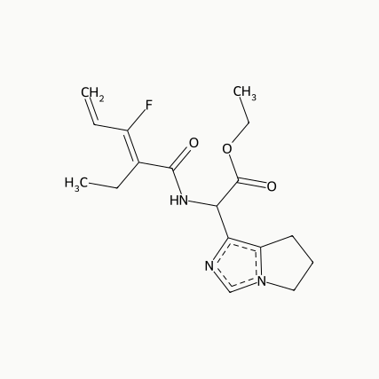 C=C/C(F)=C(\CC)C(=O)NC(C(=O)OCC)c1ncn2c1CCC2